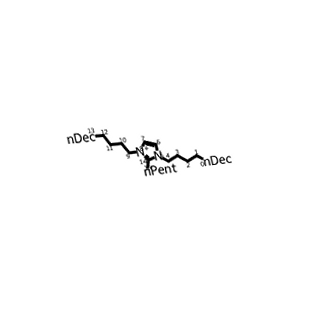 CCCCCCCCCCCCCCn1cc[n+](CCCCCCCCCCCCCC)c1CCCCC